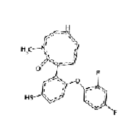 Cn1cc[nH]cncc(-c2cc(S)ccc2Oc2ccc(F)cc2F)c1=O